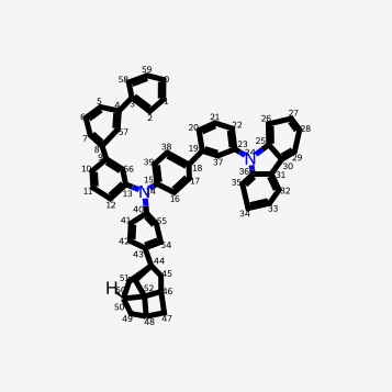 c1ccc(-c2cccc(-c3cccc(N(c4ccc(-c5cccc(-n6c7ccccc7c7ccccc76)c5)cc4)c4ccc(C56CC7CC8C[C@@H](C5)C87C6)cc4)c3)c2)cc1